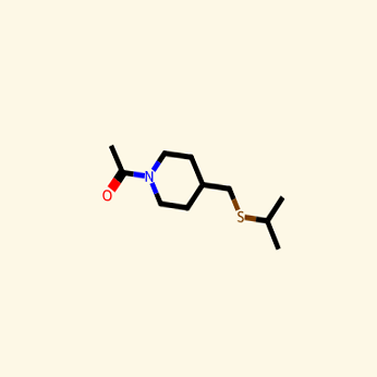 CC(=O)N1CCC(CSC(C)C)CC1